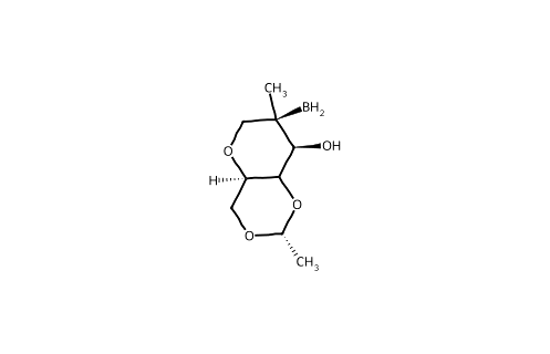 B[C@]1(C)CO[C@@H]2CO[C@@H](C)OC2[C@@H]1O